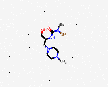 CN1CCN(CC(CO)NC(=O)N(S)C(C)(C)C)CC1